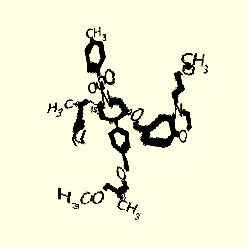 COCCCN1CCOc2ccc(CO[C@H]3CN(S(=O)(=O)c4ccc(C)cc4)[C@@H](C[C@@H](C)C#N)C[C@@H]3c3ccc(COC[C@@H](C)COC)cc3)cc21